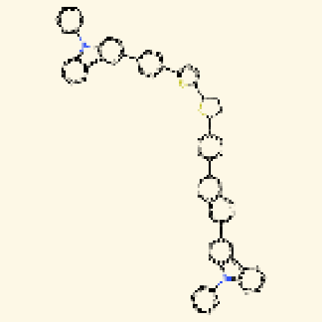 c1ccc(-n2c3ccccc3c3cc(-c4ccc(-c5ccc(C6CCC(c7ccc(-c8ccc9cc(-c%10ccc%11c(c%10)c%10ccccc%10n%11-c%10ccccc%10)ccc9c8)cc7)S6)s5)cc4)ccc32)cc1